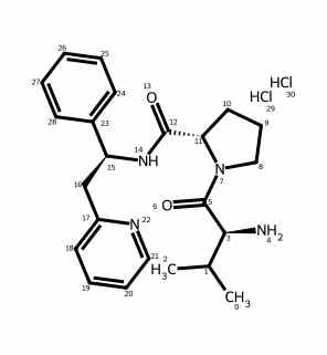 CC(C)[C@H](N)C(=O)N1CCC[C@H]1C(=O)N[C@@H](Cc1ccccn1)c1ccccc1.Cl.Cl